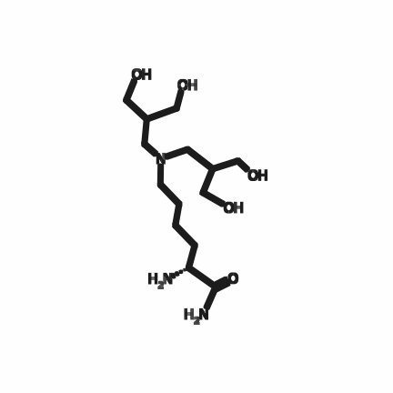 NC(=O)[C@H](N)CCCCN(CC(CO)CO)CC(CO)CO